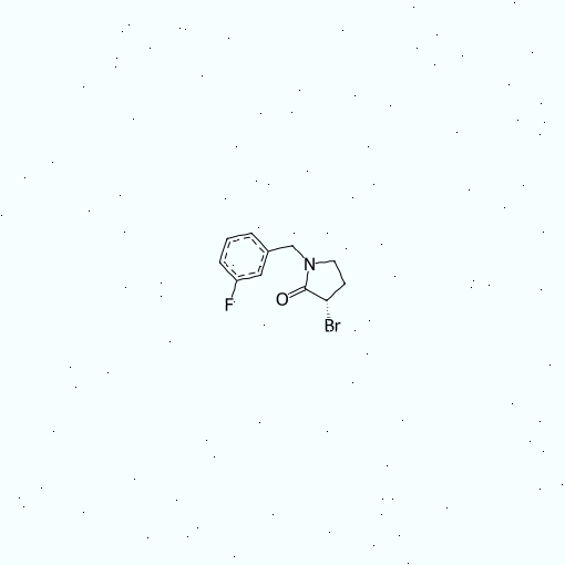 O=C1[C@@H](Br)CCN1Cc1cccc(F)c1